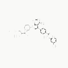 CC(CC=O)C(=O)N1CCC[C@@H](n2cc(-c3ccc(C(=O)Nc4cc(C(F)(F)F)ccn4)cc3)c3c(N)ncnc32)C1